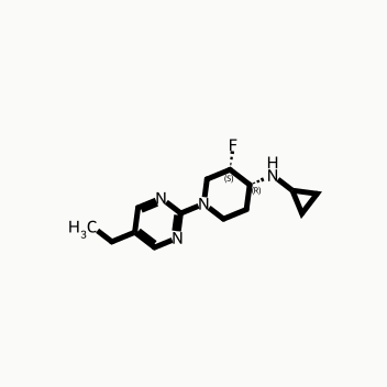 CCc1cnc(N2CC[C@@H](NC3CC3)[C@@H](F)C2)nc1